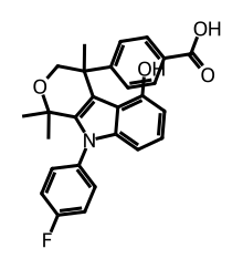 CC1(C)OCC(C)(c2ccc(C(=O)O)cc2)c2c1n(-c1ccc(F)cc1)c1cccc(O)c21